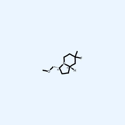 COC[C@H]1CC[C@H]2CC(C)(F)CCN12